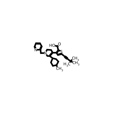 CC1CCC(C2=C(c3cc(C#CC(C)(C)C)sc3C(=O)O)CCN(Cc3ccccn3)C2)CC1